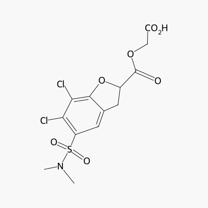 CN(C)S(=O)(=O)c1cc2c(c(Cl)c1Cl)OC(C(=O)OCC(=O)O)C2